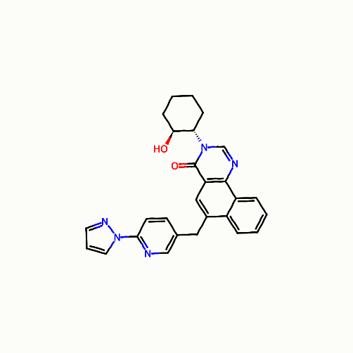 O=c1c2cc(Cc3ccc(-n4cccn4)nc3)c3ccccc3c2ncn1[C@H]1CCCC[C@@H]1O